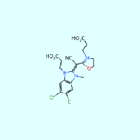 CN1/C(=C(/C#N)C2=[N+](CCC(=O)O)CCO2)N(CCC(=O)O)c2cc(Cl)c(Cl)cc21